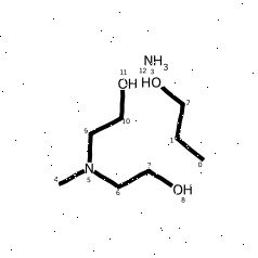 CCCO.CN(CCO)CCO.N